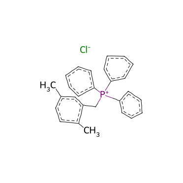 Cc1ccc(C)c(C[P+](c2ccccc2)(c2ccccc2)c2ccccc2)c1.[Cl-]